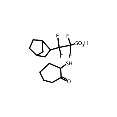 O=C1CCCCC1S.O=S(=O)(O)C(F)(F)C(F)(F)C1CC2CCC1C2